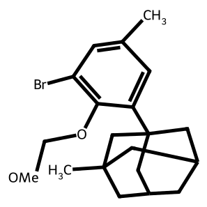 COCOc1c(Br)cc(C)cc1C12CC3CC(CC(C)(C3)C1)C2